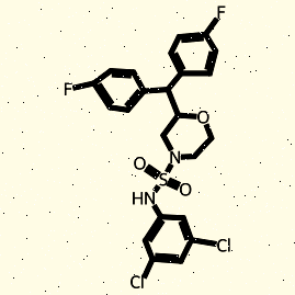 O=S(=O)(Nc1cc(Cl)cc(Cl)c1)N1CCOC(C(c2ccc(F)cc2)c2ccc(F)cc2)C1